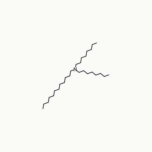 CCCCCCCCCCCCN(CCCCCCCC)CCCCCCCC